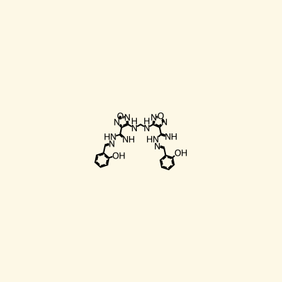 N=C(N/N=C/c1ccccc1O)c1nonc1NCNc1nonc1C(=N)N/N=C/c1ccccc1O